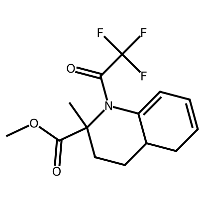 COC(=O)C1(C)CCC2CC=CC=C2N1C(=O)C(F)(F)F